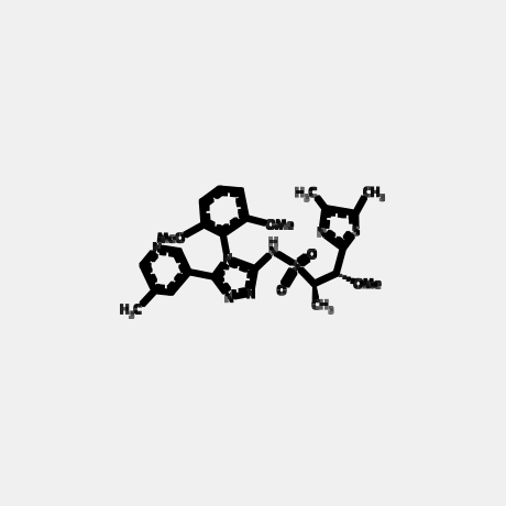 COc1cccc(OC)c1-n1c(NS(=O)(=O)[C@H](C)[C@@H](OC)c2nc(C)c(C)s2)nnc1-c1cncc(C)c1